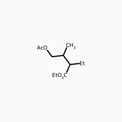 CCOC(=O)C(CC)C(C)COC(C)=O